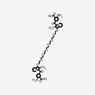 Cc1c(OCCOCCOCCOCCOCCOCCOCCOc2c(C)c(C(=O)c3ccc(N)c(C(=O)O)c3)n3ccccc23)c2ccccn2c1C(=O)c1ccc(N)c(C(=O)O)c1